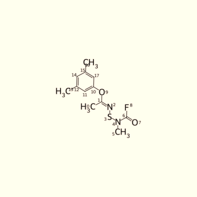 C/C(=N\SN(C)C(=O)F)Oc1cc(C)cc(C)c1